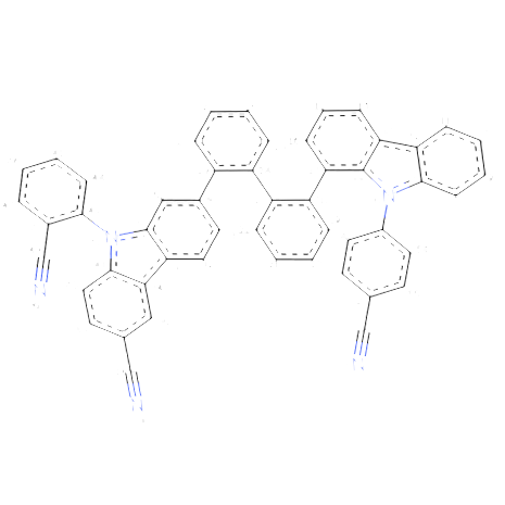 N#Cc1ccc(-n2c3ccccc3c3cccc(-c4ccccc4-c4ccccc4-c4ccc5c6cc(C#N)ccc6n(-c6ccccc6C#N)c5c4)c32)cc1